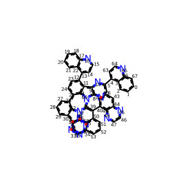 c1ccc2c(-c3cnc4c(n3)c3c(-c5ccnc6ccccc56)ccc5c6cccc7c8nccnc8n(c(=C(c8cccc9nccnc89)c8cccc9nccnc89)n4c53)c67)ccnc2c1